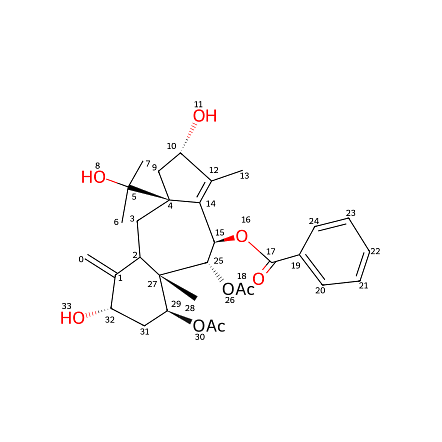 C=C1C2C[C@]3(C(C)(C)O)C[C@H](O)C(C)=C3[C@@H](OC(=O)c3ccccc3)[C@H](OC(C)=O)[C@]2(C)[C@@H](OC(C)=O)C[C@@H]1O